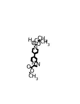 CCOC(=O)c1cnc2cc(C3=CCN(C(=O)OC(C)(C)C)CC3)ccn12